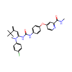 C=C(/C=C(/NC(=O)Nc1ccc(Oc2ccnc(C(=O)NC)c2)cc1)N(C)c1ccc(F)cc1)C(C)(C)C